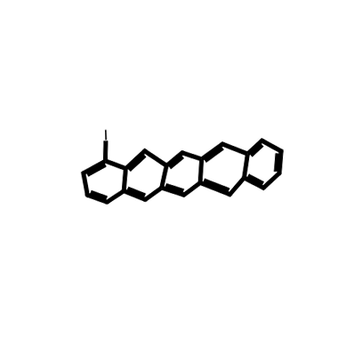 Ic1cccc2cc3cc4cc5ccccc5cc4cc3cc12